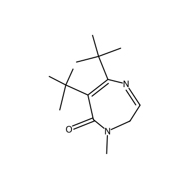 CN1CC=NC(C(C)(C)C)=C(C(C)(C)C)C1=O